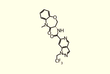 CN1C(=O)[C@@H](NC(=O)c2cc3c(cn2)cnn3CC(F)(F)F)COc2ccccc21